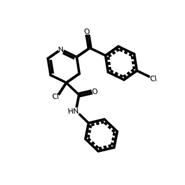 O=C(C1=NC=CC(Cl)(C(=O)Nc2ccccc2)C1)c1ccc(Cl)cc1